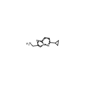 NCc1cn2nc(C3CC3)ccc2n1